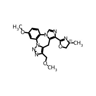 COCc1nnn2c1Cc1c(C3=N[C@@H](C)CO3)ncn1-c1ccc(OC)cc1-2